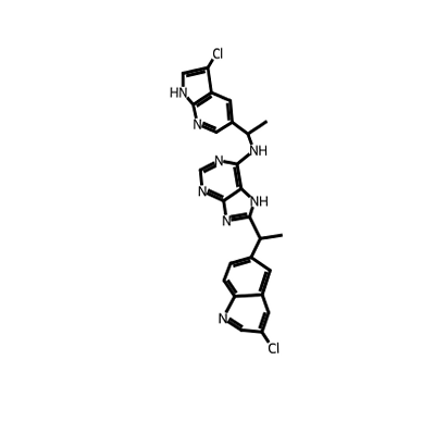 CC(Nc1ncnc2nc(C(C)c3ccc4ncc(Cl)cc4c3)[nH]c12)c1cnc2[nH]cc(Cl)c2c1